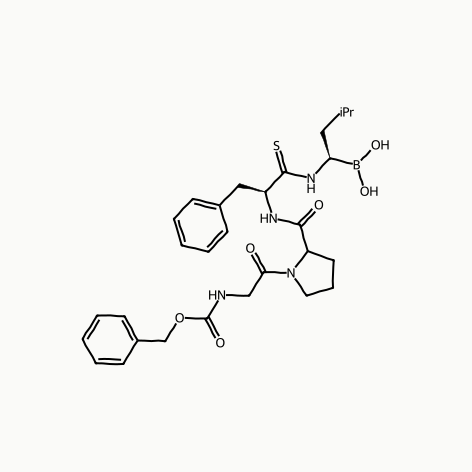 CC(C)C[C@H](NC(=S)[C@H](Cc1ccccc1)NC(=O)C1CCCN1C(=O)CNC(=O)OCc1ccccc1)B(O)O